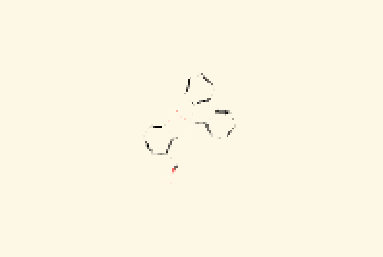 O=Cc1cccc2c1OC(c1ccccc1)(c1ccccc1)O2